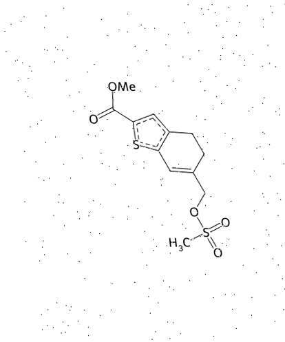 COC(=O)c1cc2c(s1)C=C(COS(C)(=O)=O)CC2